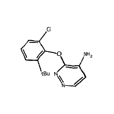 CC(C)(C)c1cccc(Cl)c1Oc1nnccc1N